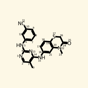 Cc1cnc(Nc2cccc(C#N)c2)nc1Nc1ccc2c(c1)N(C)C(=O)CS2